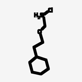 Cl[SiH2]COCCC1CCCCC1